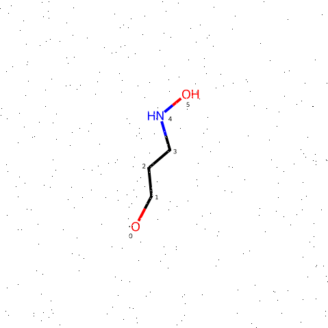 [O]CCCNO